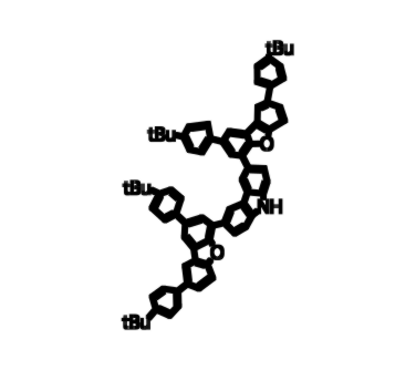 CC(C)(C)c1ccc(-c2ccc3oc4c(-c5ccc6[nH]c7ccc(-c8cc(-c9ccc(C(C)(C)C)cc9)cc9c8oc8ccc(-c%10ccc(C(C)(C)C)cc%10)cc89)cc7c6c5)cc(-c5ccc(C(C)(C)C)cc5)cc4c3c2)cc1